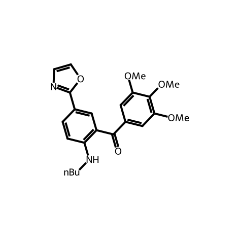 CCCCNc1ccc(-c2ncco2)cc1C(=O)c1cc(OC)c(OC)c(OC)c1